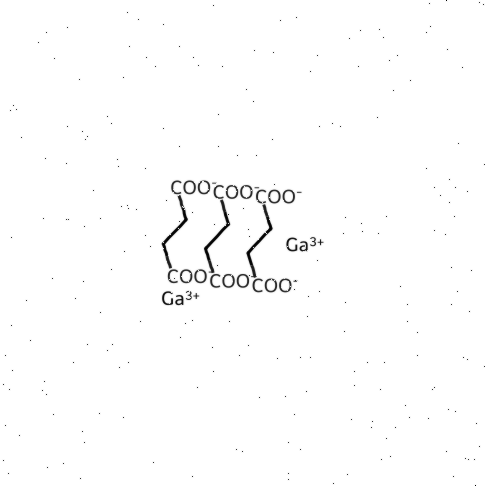 O=C([O-])CCC(=O)[O-].O=C([O-])CCC(=O)[O-].O=C([O-])CCC(=O)[O-].[Ga+3].[Ga+3]